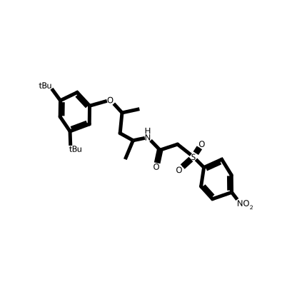 CC(CC(C)Oc1cc(C(C)(C)C)cc(C(C)(C)C)c1)NC(=O)CS(=O)(=O)c1ccc([N+](=O)[O-])cc1